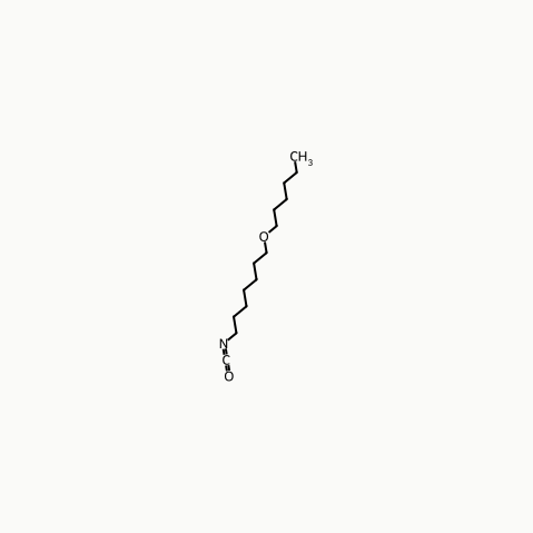 CCCCCCOCCCCCCCN=C=O